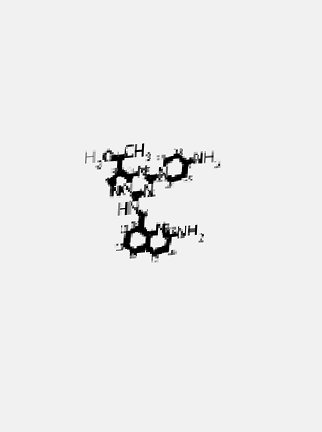 CC(C)c1cnn2c(NCc3cccc4ccc(N)nc34)nc(N3CCC(N)CC3)nc12